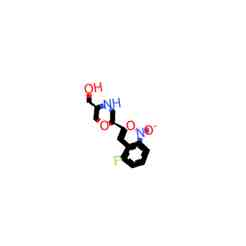 O=[N+]([O-])c1cccc(F)c1C=C[C@@H]1CN[C@H](CO)CO1